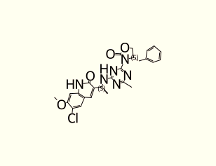 COc1cc2[nH]c(=O)c([C@H](C)Nc3nc(C)nc(N4C(=O)OC[C@@H]4Cc4ccccc4)n3)cc2cc1Cl